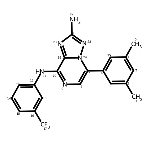 Cc1cc(C)cc(-c2cnc(Nc3cccc(C(F)(F)F)c3)c3nc(N)nn23)c1